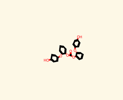 O=C(Oc1ccccc1Oc1ccc(O)cc1)Oc1ccccc1Oc1ccc(O)cc1